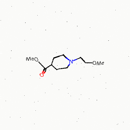 COCCN1CCC(C(=O)OC)CC1